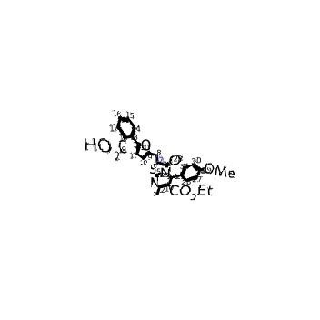 CCOC(=O)C1=C(C)N=c2s/c(=C\c3ccc(-c4ccccc4C(=O)O)o3)c(=O)n2C1c1ccc(OC)cc1